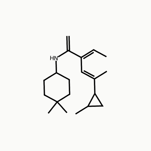 C=C(NC1CCC(C)(C)CC1)C(=C/C)/C=C(\C)C1CC1C